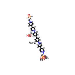 CCOP(=O)(CC[n+]1ccc(-c2cc[n+](-c3ccc(-c4ccc(-[n+]5ccc(-c6cc[n+](CCP(C)(C)=O)cc6)cc5)c(CO)c4)cc3OC)cc2)cc1)OCC